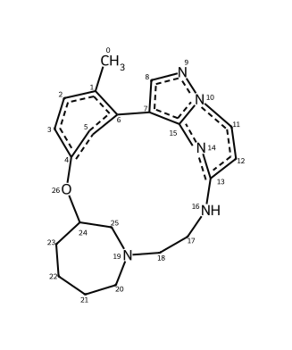 Cc1ccc2cc1-c1cnn3ccc(nc13)NCCN1CCCCC(C1)O2